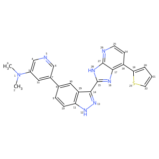 CN(C)c1cncc(-c2ccc3[nH]nc(-c4nc5c(-c6cccs6)ccnc5[nH]4)c3c2)c1